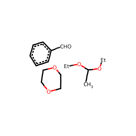 C1COCCO1.CCOC(C)OCC.O=Cc1ccccc1